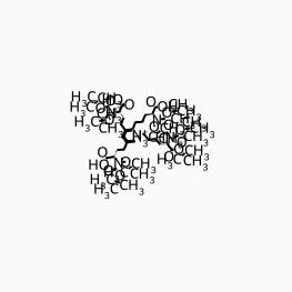 CC(C)(C)OC(=O)N[C@@H](CCCC[n+]1cc(CC[C@@H](C(=O)O)N(OC(C)(C)C)C(=O)OC(C)(C)C)cc(CC[C@@H](C(=O)O)N(OC(C)(C)C)C(=O)OC(C)(C)C)c1CCC[C@@H](C(=O)O)N(OC(C)(C)C)C(=O)OC(C)(C)C)C(=O)OC(C)(C)C